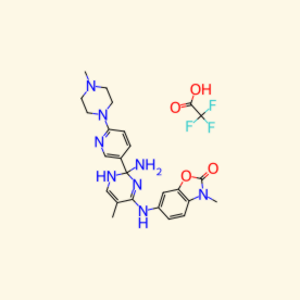 CC1=CNC(N)(c2ccc(N3CCN(C)CC3)nc2)N=C1Nc1ccc2c(c1)oc(=O)n2C.O=C(O)C(F)(F)F